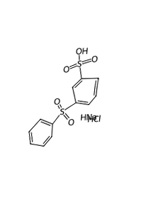 Cl.O=S(=O)(O)c1cccc(S(=O)(=O)c2ccccc2)c1.[NaH]